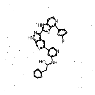 OC(Cc1ccccc1)Nc1cncc(-c2cc3c(-c4nc5c(-c6ccc(F)s6)nccc5[nH]4)n[nH]c3cn2)c1